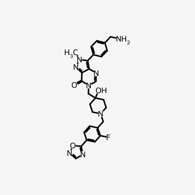 Cn1nc2c(=O)n(CC3(O)CCN(Cc4ccc(-c5ncno5)cc4F)CC3)cnc2c1-c1ccc(CN)cc1